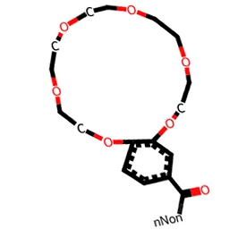 CCCCCCCCCC(=O)c1ccc2c(c1)OCCOCCOCCOCCOCCO2